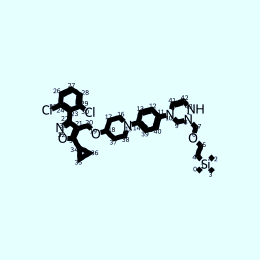 C[Si](C)(C)CCOCN1CN(c2ccc(N3CCC(OCc4c(-c5c(Cl)cccc5Cl)noc4C4CC4)CC3)cc2)C=CN1